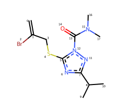 C=C(Br)CSc1nc(C(C)C)nn1C(=O)N(C)C